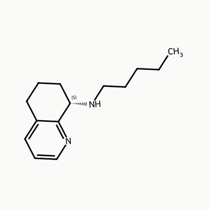 CCCCCN[C@H]1CCCc2cccnc21